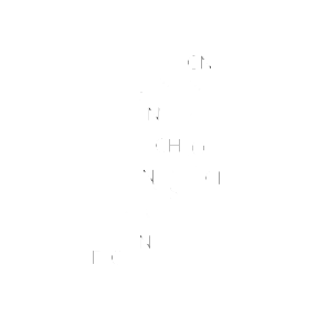 Cc1nc(-c2ccc(C(F)(F)F)nc2)sc1C(OCc1ccc(C#N)c2cccnc12)C(F)(F)F